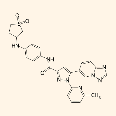 Cc1cccc(-n2nc(C(=O)Nc3ccc(NC4CCS(=O)(=O)C4)cc3)cc2-c2ccc3ncnn3c2)n1